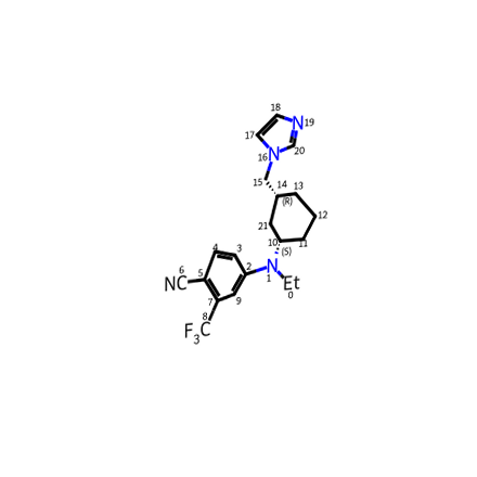 CCN(c1ccc(C#N)c(C(F)(F)F)c1)[C@H]1CCC[C@@H](Cn2ccnc2)C1